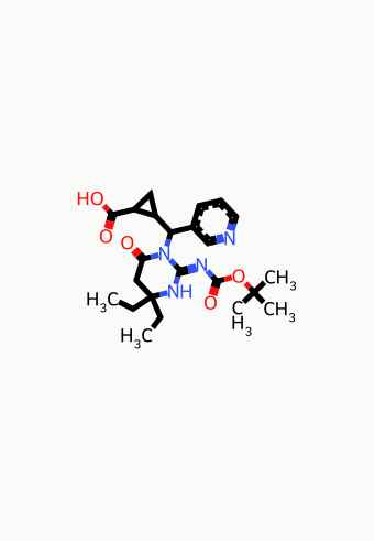 CCC1(CC)CC(=O)N(C(c2cccnc2)C2CC2C(=O)O)/C(=N/C(=O)OC(C)(C)C)N1